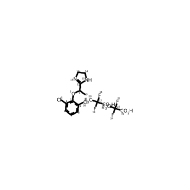 CC(Oc1c(Cl)cccc1Cl)C1=NCCN1.O=C(O)C(F)(F)C(F)(F)F.O=C(O)C(F)(F)C(F)(F)F